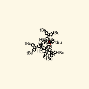 Cc1cc(C)c(N2c3cc4c(cc3B3c5cc(C(C)(C)C)ccc5Oc5cc(-n6c7ccc(C(C)(C)C)cc7c7cc(C(C)(C)C)ccc76)cc2c53)B2c3cc5c(cc3Oc3cc(-n6c7ccc(C(C)(C)C)cc7c7cc(C(C)(C)C)ccc76)cc(c32)O4)Nc2cc(-n3c4ccc(C(C)(C)C)cc4c4cc(C(C)(C)C)ccc43)cc3c2B5c2cc(C(C)(C)C)cc4c5cc(C(C)(C)C)ccc5n-3c24)c(C)c1